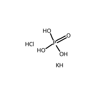 Cl.O=P(O)(O)O.[KH]